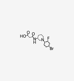 O=C(O)CC(=O)N[C@H]1CCCN(c2ccc(Br)cc2F)C1